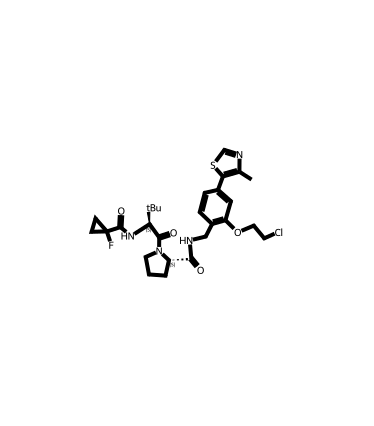 Cc1ncsc1-c1ccc(CNC(=O)[C@@H]2CCCN2C(=O)[C@@H](NC(=O)C2(F)CC2)C(C)(C)C)c(OCCCl)c1